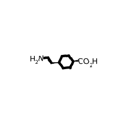 NCC[C@H]1CC[C@@H](C(=O)O)CC1